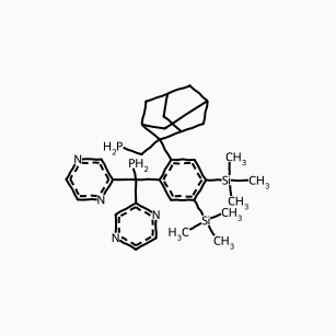 C[Si](C)(C)c1cc(C(P)(c2cnccn2)c2cnccn2)c(C2(CP)C3CC4CC(C3)CC2C4)cc1[Si](C)(C)C